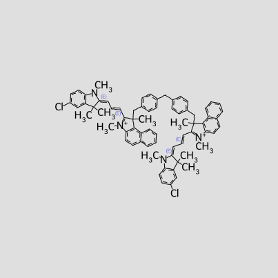 CN1/C(=C/C=C/C2=[N+](C)c3ccc4ccccc4c3C2(C)Cc2ccc(Cc3ccc(CC4(C)C(/C=C/C=C5/N(C)c6ccc(Cl)cc6C5(C)C)=[N+](C)c5ccc6ccccc6c54)cc3)cc2)C(C)(C)c2cc(Cl)ccc21